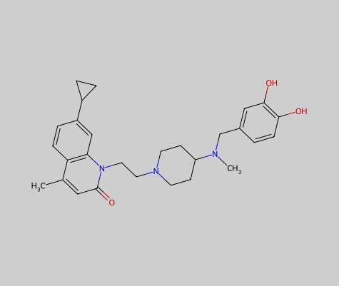 Cc1cc(=O)n(CCN2CCC(N(C)Cc3ccc(O)c(O)c3)CC2)c2cc(C3CC3)ccc12